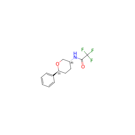 O=C(N[C@@H]1CC[C@@H](c2ccccc2)OC1)C(F)(F)F